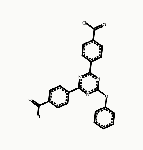 O=C(Cl)c1ccc(-c2nc(Oc3ccccc3)nc(-c3ccc(C(=O)Cl)cc3)n2)cc1